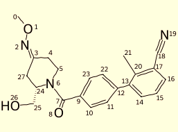 CO/N=C1\CCN(C(=O)c2ccc(-c3cccc(C#N)c3C)cc2)[C@H](CO)C1